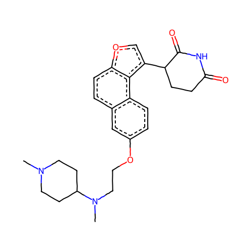 CN1CCC(N(C)CCOc2ccc3c(ccc4occ(C5CCC(=O)NC5=O)c43)c2)CC1